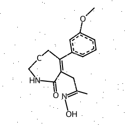 COc1cccc(C2=C(CC(C)=NO)C(=O)NCCC2)c1